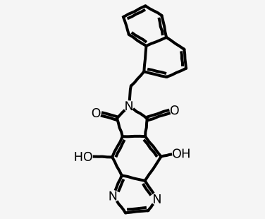 O=C1c2c(c(O)c3nccnc3c2O)C(=O)N1Cc1cccc2ccccc12